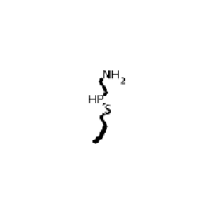 C=C=CCSPCCN